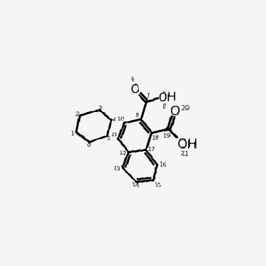 C1CCCCC1.O=C(O)c1ccc2ccccc2c1C(=O)O